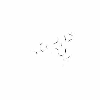 COC(=O)c1ccc(Oc2nc3cc4c(cnn4SI)cc3c(-c3ccc(F)cc3)c2C(C)C)c(OC)c1